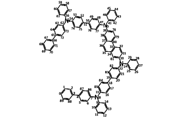 c1ccc(-c2ccc(N(c3ccccc3)c3ccc(-c4ccc(N(c5ccccc5)c5ccc6c(ccc7cc(N(c8ccccc8)c8ccc(-c9ccc(N(c%10ccccc%10)c%10ccc(-c%11ccccc%11)cc%10)cc9)cc8)ccc76)c5)cc4)cc3)cc2)cc1